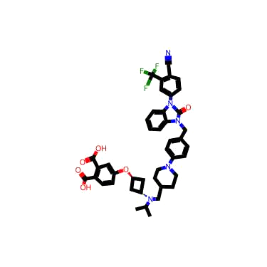 CC(C)N(CC1CCN(c2ccc(Cn3c(=O)n(-c4ccc(C#N)c(C(F)(F)F)c4)c4ccccc43)cc2)CC1)[C@H]1C[C@H](Oc2ccc(C(=O)O)c(C(=O)O)c2)C1